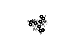 Cc1cc(N(c2cc(C)c(-c3c(C)cc(F)c4ccccc34)cc2C)c2cc(C)c(-c3c(C)cc(F)c4ccccc34)cc2C)c(C)cc1-c1c(C)cc(F)c2ccccc12